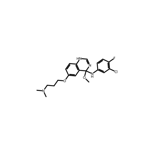 COC1(Nc2ccc(F)c(Cl)c2)N=CNc2ccc(OCCCN(C)C)cc21